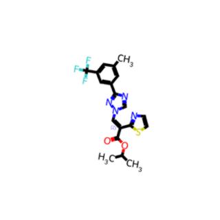 Cc1cc(-c2ncn(/C=C(/C(=O)OC(C)C)c3nccs3)n2)cc(C(F)(F)F)c1